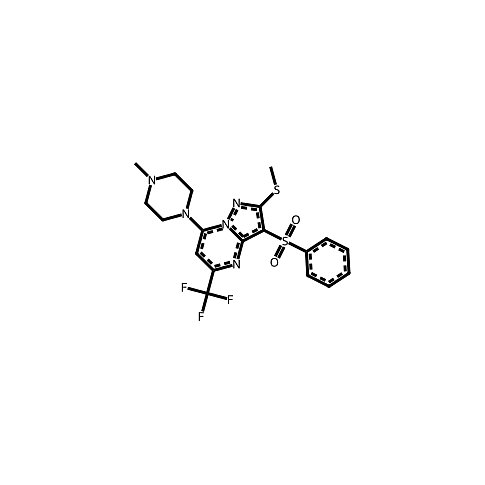 CSc1nn2c(N3CCN(C)CC3)cc(C(F)(F)F)nc2c1S(=O)(=O)c1ccccc1